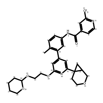 Cc1ccc(NC(=O)c2ccnc(C(F)(F)F)c2)cc1-c1cc(OCCOC2CCCCO2)nc(C23CCOCC2C3)c1